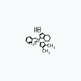 CC1=C(C)C[C]([Zr]([CH3])(=[CH]c2ccccc2)[CH]2C=CC3=C2CCCC3)=C1.Cl.Cl